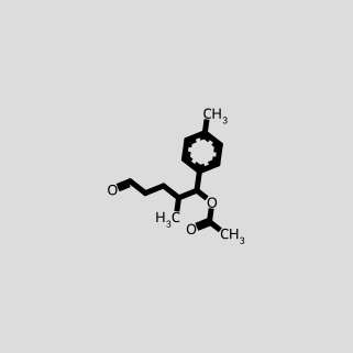 CC(=O)OC(c1ccc(C)cc1)C(C)CCC=O